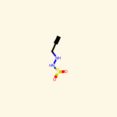 C#CCNN[SH](=O)=O